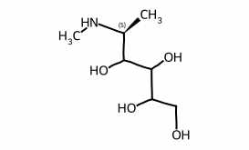 CN[C@@H](C)C(O)C(O)C(O)CO